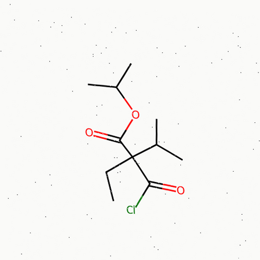 CCC(C(=O)Cl)(C(=O)OC(C)C)C(C)C